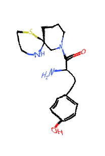 NC(Cc1ccc(O)cc1)C(=O)N1CCCC2(C1)NCCS2